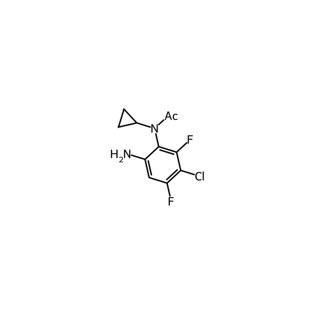 CC(=O)N(c1c(N)cc(F)c(Cl)c1F)C1CC1